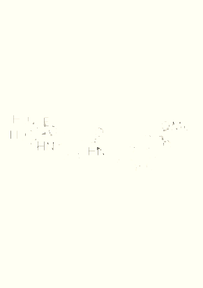 CCC(C)(C)S(=O)(=O)NC1CCC(C(=O)NCCc2cccc(CC(=O)OC)c2)CC1